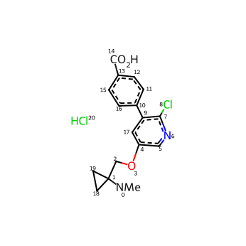 CNC1(COc2cnc(Cl)c(-c3ccc(C(=O)O)cc3)c2)CC1.Cl